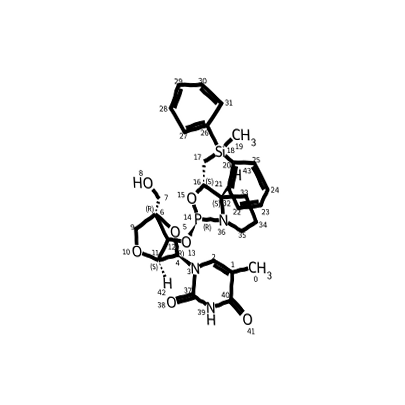 Cc1cn([C@@H]2O[C@]3(CO)CO[C@H]2C3O[P@@]2O[C@H](C[Si](C)(c3ccccc3)c3ccccc3)[C@@H]3CCCN32)c(=O)[nH]c1=O